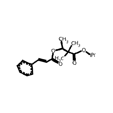 CC(C)OC(=O)C(C)(C)C(C)OC(=O)C=Cc1ccccc1